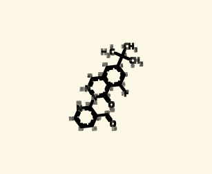 CC(C)(C)c1cc(F)c2c(=O)n(-c3ncccc3C=O)ncc2c1